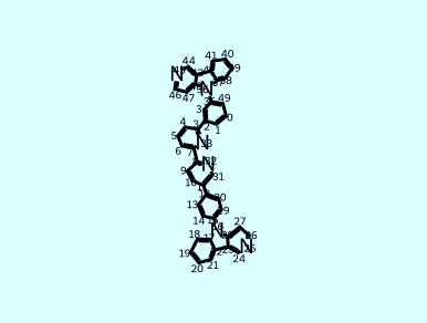 c1cc(-c2cccc(-c3ccc(-c4ccc(-n5c6ccccc6c6cnccc65)cc4)cn3)n2)cc(-n2c3ccccc3c3cnccc32)c1